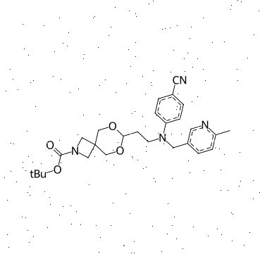 Cc1ccc(CN(CCC2OCC3(CO2)CN(C(=O)OC(C)(C)C)C3)c2ccc(C#N)cc2)cn1